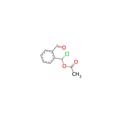 CC(=O)OC(Cl)c1ccccc1[C]=O